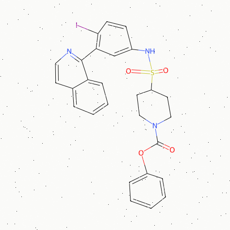 O=C(Oc1ccccc1)N1CCC(S(=O)(=O)Nc2ccc(I)c(-c3nccc4ccccc34)c2)CC1